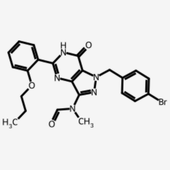 CCCOc1ccccc1-c1nc2c(N(C)C=O)nn(Cc3ccc(Br)cc3)c2c(=O)[nH]1